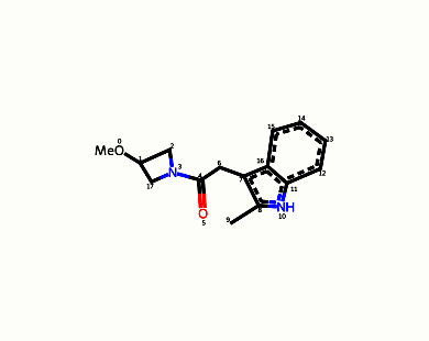 COC1CN(C(=O)Cc2c(C)[nH]c3ccccc23)C1